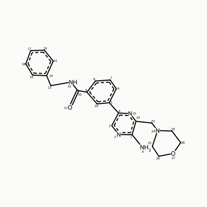 Nc1ncc(-c2cccc(C(=O)NCc3ccccc3)c2)nc1CN1CCOCC1